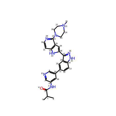 CC(C)C(=O)Nc1cncc(-c2ccc3[nH]nc(-c4cc5c(N6CCN(C)CC6)nccc5[nH]4)c3c2)c1